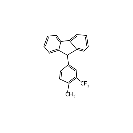 [CH2]c1ccc(C2c3ccccc3-c3ccccc32)cc1C(F)(F)F